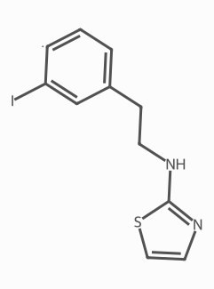 Ic1[c]ccc(CCNc2nccs2)c1